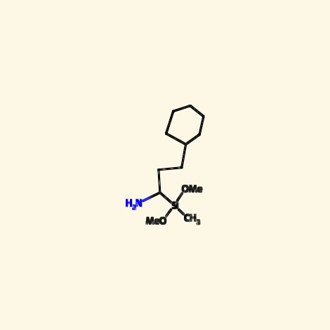 CO[Si](C)(OC)C(N)CCC1CCCCC1